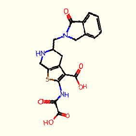 O=C(O)C(=O)Nc1sc2c(c1C(=O)O)CC(CN1Cc3ccccc3C1=O)NC2